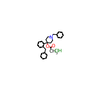 CC(=O)OC1(c2ccccc2Cc2ccccc2)CCN(Cc2ccccc2)CC1.Cl